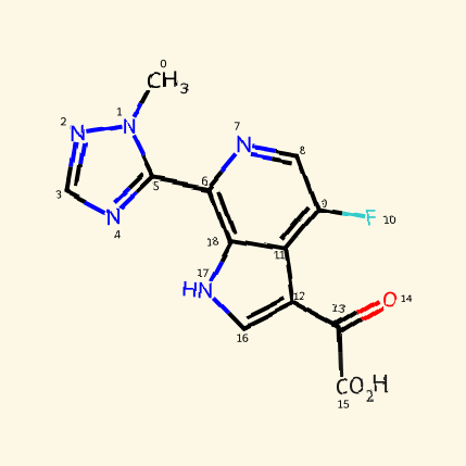 Cn1ncnc1-c1ncc(F)c2c(C(=O)C(=O)O)c[nH]c12